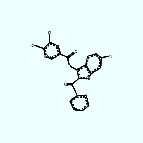 O=C(Nc1c(C(=O)c2ccccc2)[nH]c2cc(Cl)ccc12)c1cnc(Cl)c(Cl)c1